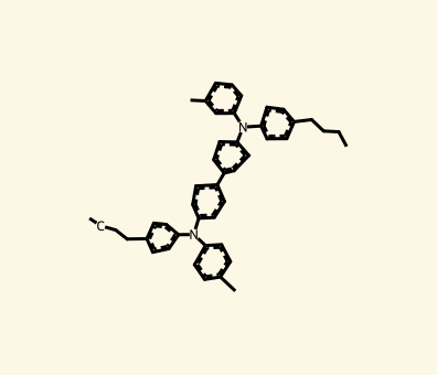 CCCCc1ccc(N(c2ccc(C)cc2)c2ccc(-c3ccc(N(c4ccc(CCCC)cc4)c4cccc(C)c4)cc3)cc2)cc1